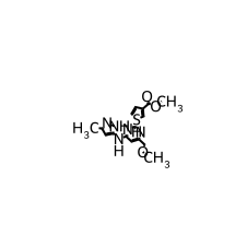 COCc1cc(Nc2cc(C)n[nH]2)nc([SH]2C=CC(C(=O)OC)=C2)n1